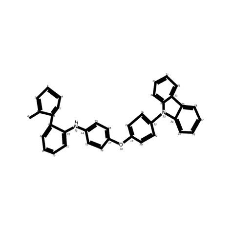 Cc1ccccc1-c1ccccc1Nc1ccc(Oc2ccc(-n3c4ccccc4c4ccccc43)cc2)cc1